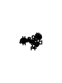 CN1CC[C@H]2CN(C(=O)Cn3cc(NC(=O)c4cnn5cccnc45)c(-c4cc(Cl)ccc4OC(F)F)n3)C[C@@H]2C1